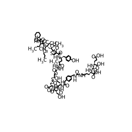 CCCCOCN(C(=O)[C@@H](NC(=O)[C@H]1CCCCN1C)C(C)CC)[C@@H](C[C@@H](OC(C)=O)c1nc(C(=O)N[C@@H](Cc2ccc(O)cc2)C[C@H](C)C(=O)NNC(=O)OCCSSC[C@@H](NC(=O)[C@H](CC(=O)O)NC(=O)[C@H](CC(=O)O)NC(=O)Cc2ccc(CNC(=O)NCCCC[C@@H](NC(=O)N[C@@H](CCC(=O)O)C(=O)O)C(=O)O)cc2)C(=O)O)cs1)C(C)C